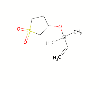 C=C[Si](C)(C)OC1CCS(=O)(=O)C1